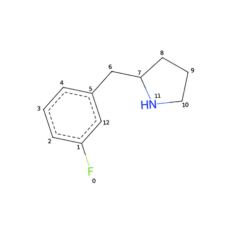 Fc1cccc(CC2CCCN2)c1